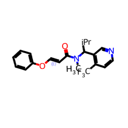 CC(C)C(c1cnccc1C(F)(F)F)N(C)C(=O)/C=C/Oc1ccccc1